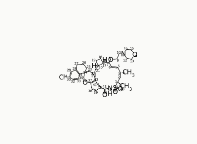 C[C@@H]1C[C@@H](C)/C=C/[C@H](OCCN2CCOCC2)[C@@H]2CC[C@H]2CN2C[C@@]3(CCCc4cc(Cl)ccc43)COc3ccc(cc32)C(=O)NS1(=O)=O